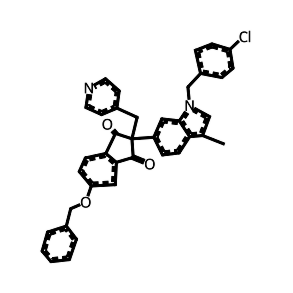 Cc1cn(Cc2ccc(Cl)cc2)c2cc(C3(Cc4ccncc4)C(=O)c4ccc(OCc5ccccc5)cc4C3=O)ccc12